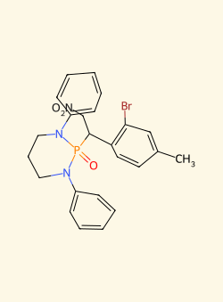 Cc1ccc(C(C[N+](=O)[O-])P2(=O)N(c3ccccc3)CCCN2c2ccccc2)c(Br)c1